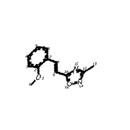 COc1ccccc1/C=C/c1nc(C)no1